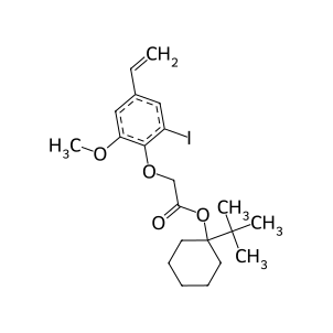 C=Cc1cc(I)c(OCC(=O)OC2(C(C)(C)C)CCCCC2)c(OC)c1